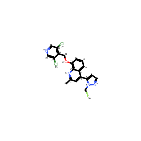 Cc1cc(-c2ccnn2CF)c2cccc(OCc3c(Cl)cncc3Cl)c2n1